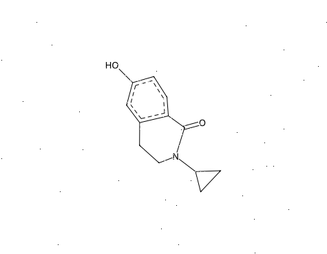 O=C1c2ccc(O)cc2CCN1C1CC1